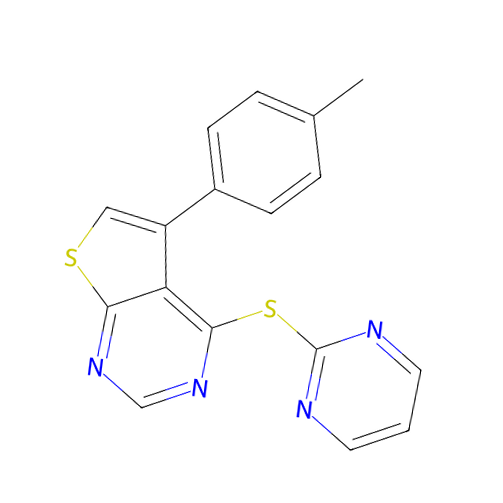 Cc1ccc(-c2csc3ncnc(Sc4ncccn4)c23)cc1